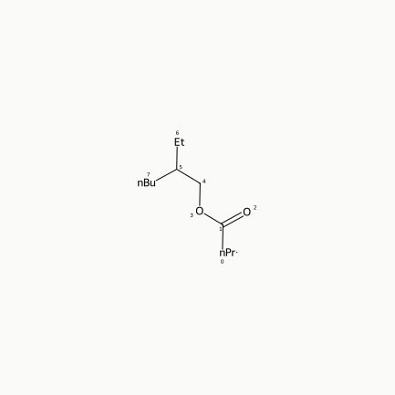 CC[CH]C(=O)OCC(CC)CCCC